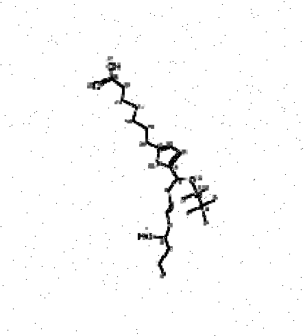 CCCC(O)CC=CCC(O[Si](C)(C)C(C)(C)C)c1ccc(CCCCCCC(=O)O)s1